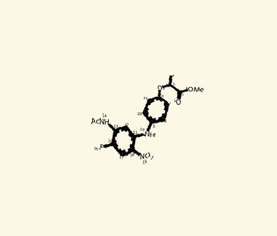 COC(=O)C(C)Oc1ccc(Nc2cc(NC(C)=O)c(F)cc2[N+](=O)[O-])cc1